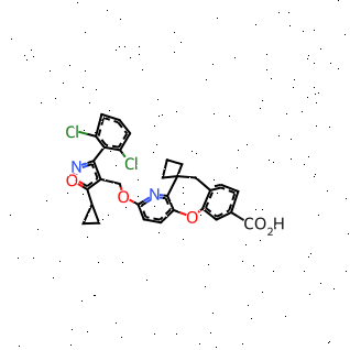 O=C(O)c1ccc2c(c1)Oc1ccc(OCc3c(-c4c(Cl)cccc4Cl)noc3C3CC3)nc1C1(CCC1)C2